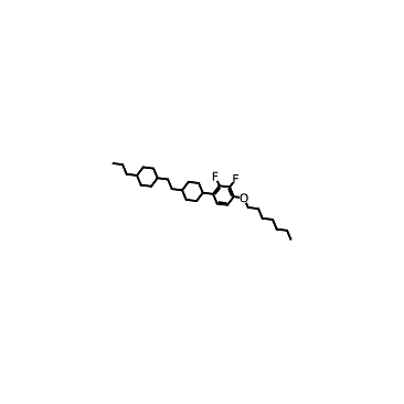 CCCCCCCOc1ccc(C2CCC(CCC3CCC(CCC)CC3)CC2)c(F)c1F